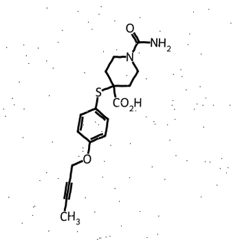 CC#CCOc1ccc(SC2(C(=O)O)CCN(C(N)=O)CC2)cc1